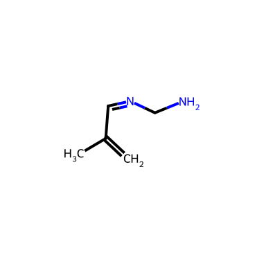 C=C(C)/C=N\CN